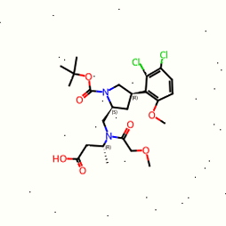 COCC(=O)N(C[C@@H]1C[C@H](c2c(OC)ccc(Cl)c2Cl)CN1C(=O)OC(C)(C)C)[C@H](C)CC(=O)O